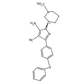 N#Cc1c(-c2ccc(Oc3ccccc3)cc2)nn([C@@H]2CCCN(C(=O)O)C2)c1N